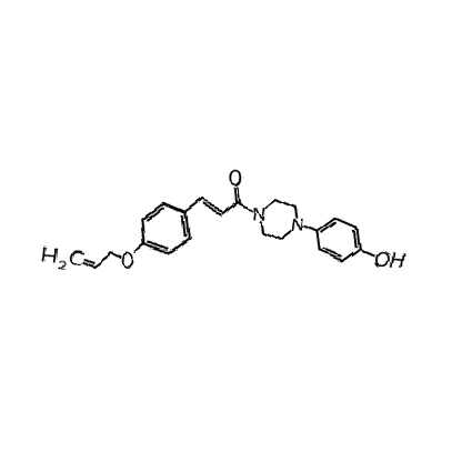 C=CCOc1ccc(/C=C/C(=O)N2CCN(c3ccc(O)cc3)CC2)cc1